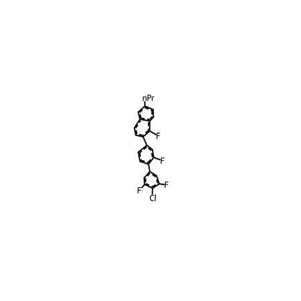 CCCc1ccc2c(F)c(-c3ccc(-c4cc(F)c(Cl)c(F)c4)c(F)c3)ccc2c1